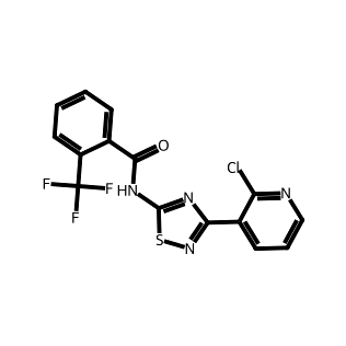 O=C(Nc1nc(-c2cccnc2Cl)ns1)c1ccccc1C(F)(F)F